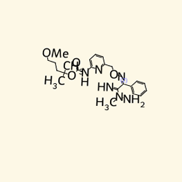 COCCCC(C)(C)OC(=O)Nc1cccc(CO/N=C(\C(=N)N(C)N)c2ccccc2)n1